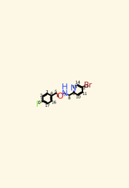 Fc1ccc(CONCc2ccc(Br)cn2)cc1